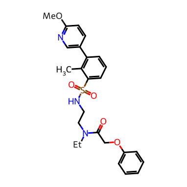 CCN(CCNS(=O)(=O)c1cccc(-c2ccc(OC)nc2)c1C)C(=O)COc1ccccc1